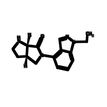 CCn1ncc2c(N3C[C@H]4CCN[C@H]4C3=O)cccc21